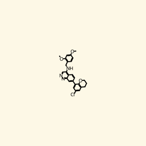 COc1ccc(CNc2cnnc3cc(-c4cc(Cl)cc5c4OCCC5)ccc23)c(OC)c1